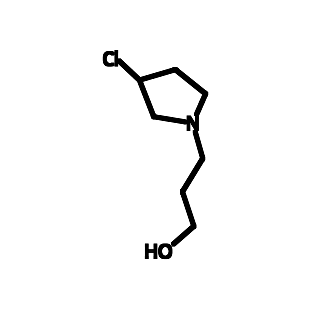 OCCCN1CCC(Cl)C1